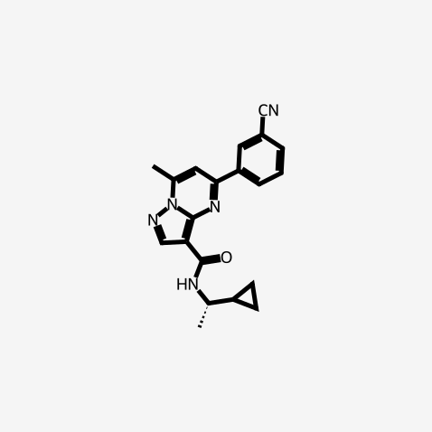 Cc1cc(-c2cccc(C#N)c2)nc2c(C(=O)N[C@@H](C)C3CC3)cnn12